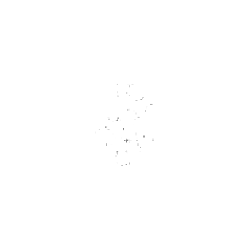 CS(=O)(=O)Nc1ccccc1Nc1nc(Nc2cccc(N3CCCC3)c2)ncc1F